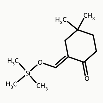 CC1(C)CCC(=O)C(=CO[Si](C)(C)C)C1